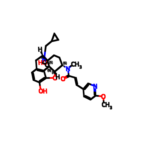 COc1ccc(C=CC(=O)N(C)[C@H]2CC[C@@]3(O)[C@H]4Cc5ccc(O)c6c5[C@@]3(CCN4CC3CC3)[C@H]2O6)cn1